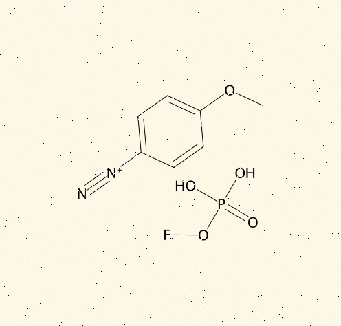 COc1ccc([N+]#N)cc1.O=P(O)(O)OF